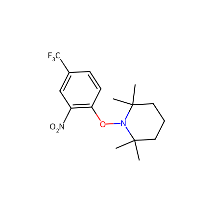 CC1(C)CCCC(C)(C)N1Oc1ccc(C(F)(F)F)cc1[N+](=O)[O-]